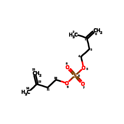 C=C(C)CCOS(=O)(=O)OCCC(=C)C